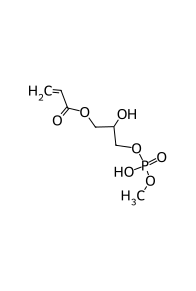 C=CC(=O)OCC(O)COP(=O)(O)OC